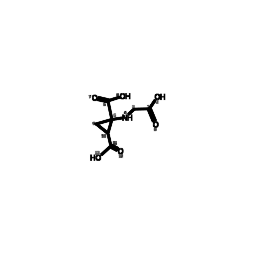 O=C(O)CNC1(C(=O)O)CC1C(=O)O